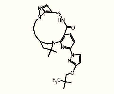 Cc1c2cnn1CCCC1CN(c3nc(-n4ccc(OCC(C)(C)C(F)(F)F)n4)ccc3C(=O)NS2)C(C)(C)C1